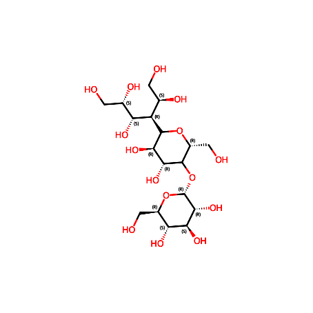 OC[C@@H](O)[C@@H](C1O[C@H](CO)C(O[C@H]2O[C@H](CO)[C@@H](O)[C@H](O)[C@H]2O)[C@H](O)[C@H]1O)[C@H](O)[C@@H](O)CO